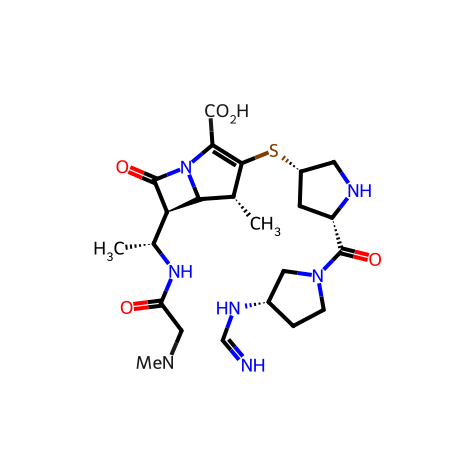 CNCC(=O)N[C@H](C)[C@H]1C(=O)N2C(C(=O)O)=C(S[C@@H]3CN[C@H](C(=O)N4CC[C@H](NC=N)C4)C3)[C@H](C)C12